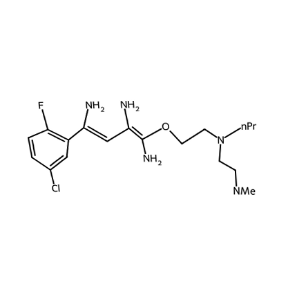 CCCN(CCNC)CCO/C(N)=C(N)/C=C(\N)c1cc(Cl)ccc1F